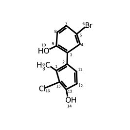 Cc1c(-c2cc(Br)ccc2O)c[c]c(O)c1Cl